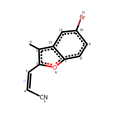 Cc1c(/C=C\C#N)oc2ccc(Br)cc12